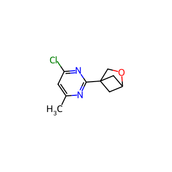 Cc1cc(Cl)nc(C23COC(C2)C3)n1